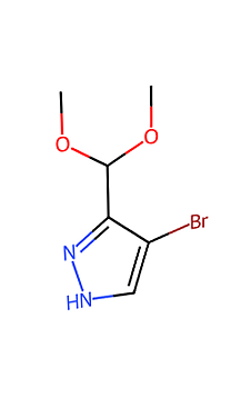 COC(OC)c1n[nH]cc1Br